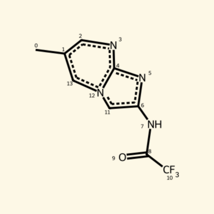 Cc1cnc2nc(NC(=O)C(F)(F)F)cn2c1